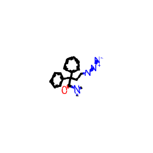 CN(C)C(=O)C(CCN=[N+]=[N-])(c1ccccc1)c1ccccc1